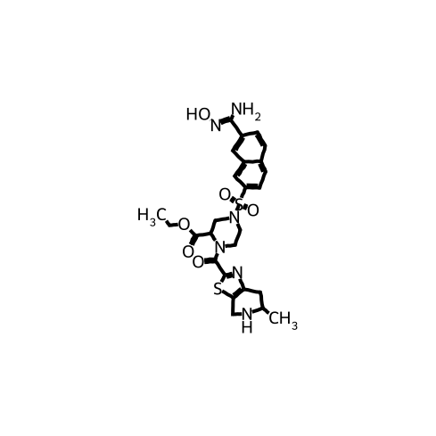 CCOC(=O)C1CN(S(=O)(=O)c2ccc3ccc(C(N)=NO)cc3c2)CCN1C(=O)c1nc2c(s1)CNC(C)C2